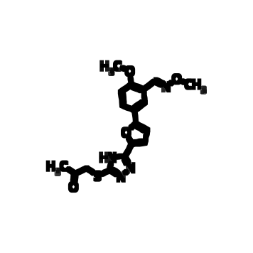 CO/N=C/c1cc(-c2ccc(-c3nnc(SCC(C)=O)[nH]3)o2)ccc1OC